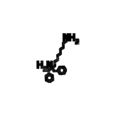 NCCCCCCCCCC(N)(Cc1ccccc1)Cc1ccccc1